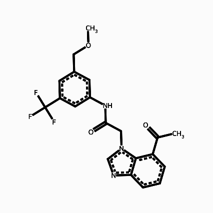 COCc1cc(NC(=O)Cn2cnc3cccc(C(C)=O)c32)cc(C(F)(F)F)c1